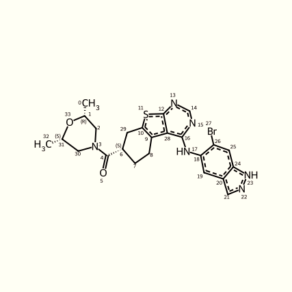 C[C@@H]1CN(C(=O)[C@H]2CCc3c(sc4ncnc(Nc5cc6cn[nH]c6cc5Br)c34)C2)C[C@H](C)O1